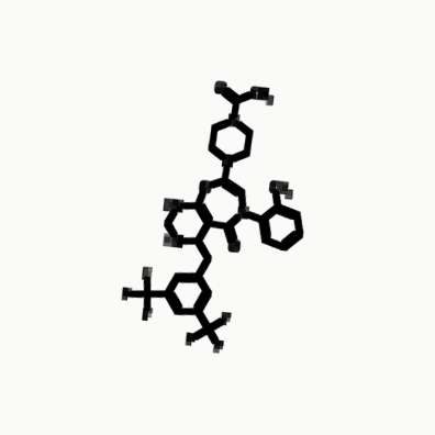 CC(=O)N1CCN(C2=CN(c3ccccc3C)C(=O)C3=C(NCNC3Cc3cc(C(F)(F)F)cc(C(F)(F)F)c3)O2)CC1